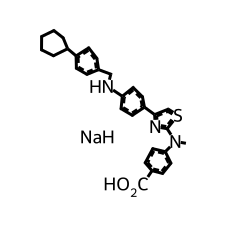 CN(c1ccc(C(=O)O)cc1)c1nc(-c2ccc(NCc3ccc(C4CCCCC4)cc3)cc2)cs1.[NaH]